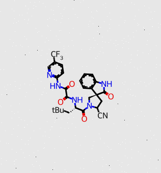 CC(C)(C)C[C@H](NC(=O)C(=O)Nc1ccc(C(F)(F)F)cn1)C(=O)N1C[C@]2(CC1C#N)C(=O)Nc1ccccc12